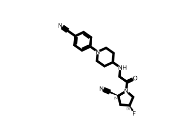 N#Cc1ccc(N2CCC(NCC(=O)N3C[C@@H](F)C[C@H]3C#N)CC2)cc1